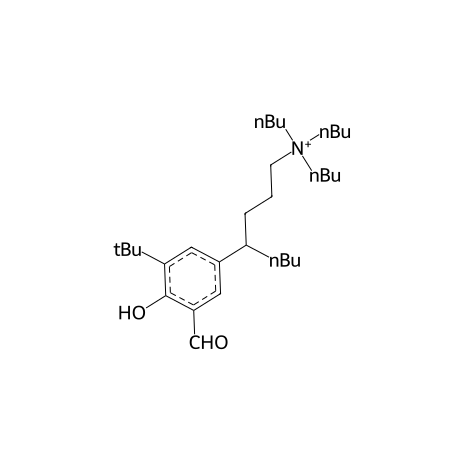 CCCCC(CCC[N+](CCCC)(CCCC)CCCC)c1cc(C=O)c(O)c(C(C)(C)C)c1